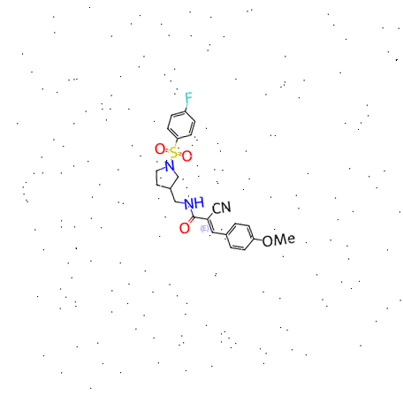 COc1ccc(/C=C(\C#N)C(=O)NCC2CCN(S(=O)(=O)c3ccc(F)cc3)C2)cc1